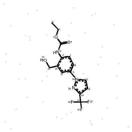 CCOC(=O)Nc1ccc(-n2ccc(C(F)(F)F)n2)cc1CO